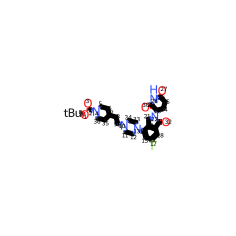 CC(C)(C)OC(=O)N1CCC(CCN2CCN(c3cc(F)cc4c3CN(C3CCC(=O)NC3=O)C4=O)CC2)CC1